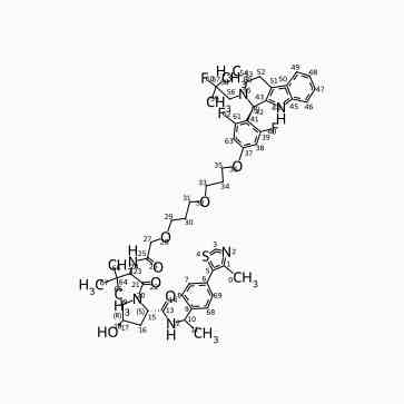 Cc1ncsc1-c1ccc(C(C)NC(=O)[C@@H]2C[C@@H](O)CN2C(=O)C(NC(=O)COCCCOCCCOc2cc(F)c([C@@H]3c4[nH]c5ccccc5c4C[C@@H](C)N3CC(C)(C)F)c(F)c2)C(C)(C)C)cc1